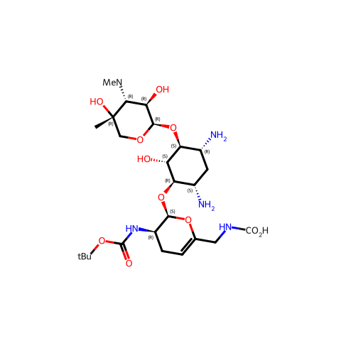 CN[C@@H]1[C@@H](O)[C@@H](O[C@@H]2[C@@H](O)[C@H](O[C@H]3OC(CNC(=O)O)=CC[C@H]3NC(=O)OC(C)(C)C)[C@@H](N)C[C@H]2N)OC[C@]1(C)O